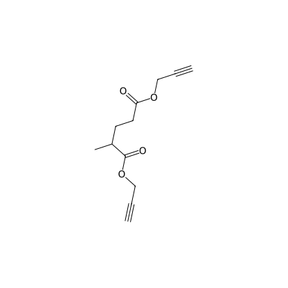 C#CCOC(=O)CCC(C)C(=O)OCC#C